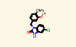 CCOc1cc(Cn2c(=O)[nH]c3cc(Cl)ccc32)ccc1OC